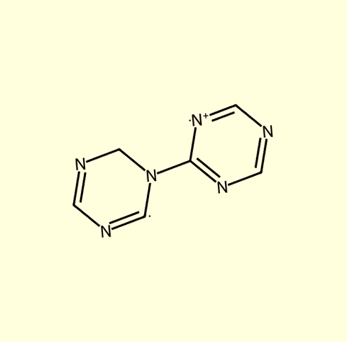 [C]1=NC=NCN1C1=NC=NC=[N+]1